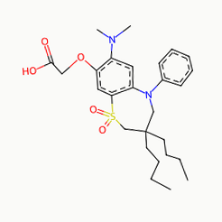 CCCCC1(CCCC)CN(c2ccccc2)c2cc(N(C)C)c(OCC(=O)O)cc2S(=O)(=O)C1